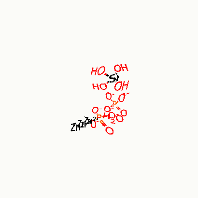 O.O=P([O-])([O-])[O-].O=P([O-])([O-])[O-].O[Si](O)(O)O.[Zn+2].[Zn+2].[Zn+2]